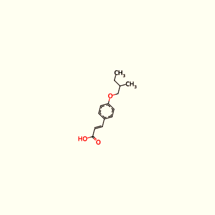 CCC(C)COc1ccc(C=CC(=O)O)cc1